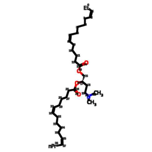 CC/C=C\CCCC/C=C\CCCCC(=O)OC[C@H](CCN(C)C)OC(=O)CCCC/C=C\CCCC/C=C\CCC